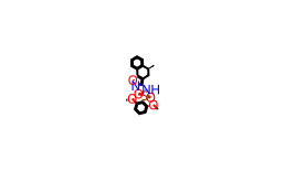 COc1cccc(OC)c1S(=O)(=O)Nc1noc2c1C[C@H](C)c1ccccc1-2